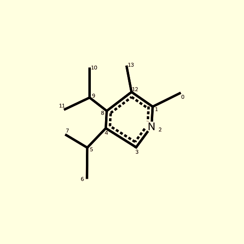 Cc1ncc(C(C)C)c(C(C)C)c1C